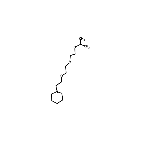 CC(C)OCCOCCOCCN1CCCCC1